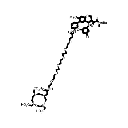 COc1cc2c(cc1-c1cccc(NC(=O)CCOCCOCCOCCOCCOCCOCCNC(=O)CN3CCN(CC(=O)O)CCN(CC(=O)O)CCN(CC(=O)O)CC3)c1)-c1c(c(C(=O)N(C)C(C)(C)C)nn1-c1cc(Cl)cc(Cl)c1)CO2